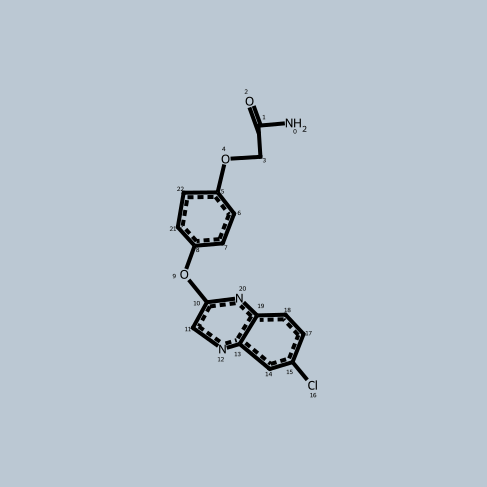 NC(=O)COc1ccc(Oc2cnc3cc(Cl)ccc3n2)cc1